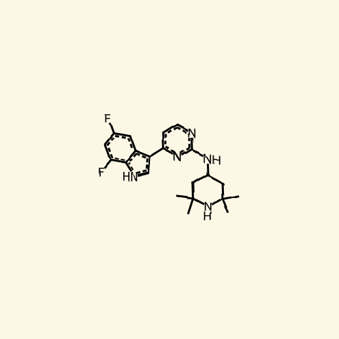 CC1(C)CC(Nc2nccc(-c3c[nH]c4c(F)cc(F)cc34)n2)CC(C)(C)N1